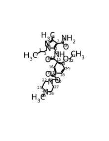 CCCn1nc(C)c(C(N)=O)c1NC(=O)c1cc(S(=O)(=O)N2CCN(C)CC2)ccc1OCC